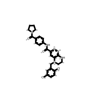 O=C(Nc1ccc(C(=O)N2CCCC2)cc1)c1cc2c(nn1)NCCN2Cc1cc(Cl)ccc1Cl